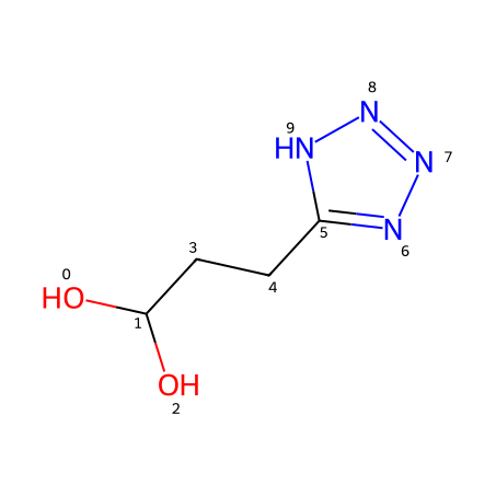 OC(O)CCc1nnn[nH]1